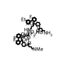 CCc1cccc(-c2c(F)cccc2C(O)(CCCNC(=O)O)C2CCCN(C(=O)CC(O)CN)C2)c1.CNCCCC(=O)N1CCCC(C(O)(CCCNC(=O)C(F)(F)F)c2cccc(F)c2-c2cc(C)ccc2F)C1